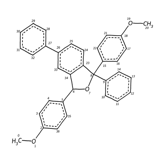 COc1ccc(C2OC(c3ccccc3)(c3ccc(OC)cc3)c3ccc(-c4ccccc4)cc32)cc1